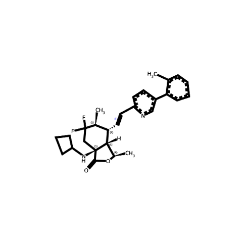 Cc1ccccc1-c1ccc(/C=C/[C@@H]2[C@@H]3[C@@H](C)OC(=O)[C@]3(NC3CCC3)CC(F)(F)[C@H]2C)nc1